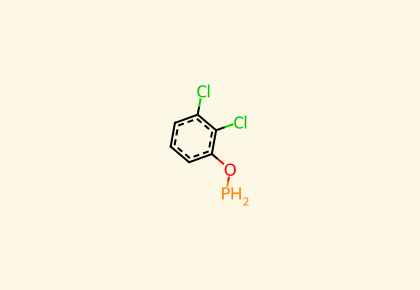 POc1cccc(Cl)c1Cl